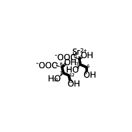 O=C([O-])[C@H](O)[C@@H](O)CO.O=C([O-])[C@H](O)[C@@H](O)CO.[Sr+2]